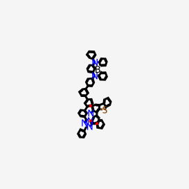 c1ccc(-c2nc(-c3ccccc3)nc(-c3cccc(-c4cccc(-c5cccc(-c6ccc(N7c8ccccc8B8c9ccccc9N(c9ccccc9)c9cccc7c98)cc6)c5)c4)c3-n3c4ccccc4c4c5sc6ccccc6c5ccc43)n2)cc1